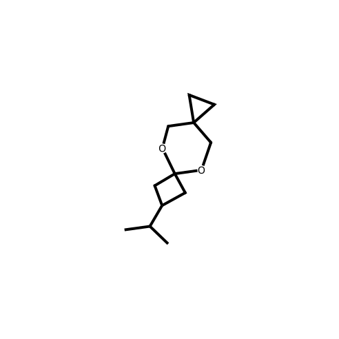 CC(C)C1CC2(C1)OCC1(CC1)CO2